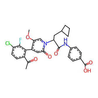 COc1cn(C(CC2CCC2)C(=O)Nc2ccc(C(=O)O)cc2)c(=O)cc1-c1c(C(C)=O)ccc(Cl)c1F